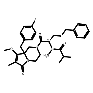 COC1=C(C)C(=O)N2CCN(C(=O)[C@@H](COCc3ccccc3)N(N)C(=O)C(C)C)CC12Cc1ccc(F)cc1